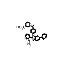 CC(c1ccc(-n2c(-c3cccnc3N)nc3ccc(-c4ccccc4)nc32)cc1)N1CCCC(C(=O)O)C1